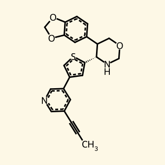 CC#Cc1cncc(-c2csc([C@H]3NCOCC3c3ccc4c(c3)OCO4)c2)c1